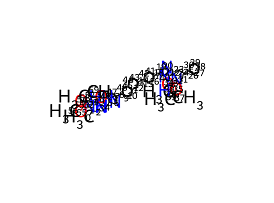 CCCN(Cc1nc(-c2ccc3cc(-c4ccc(-c5cnc([C@@H]6C[C@@H](c7ccccc7)CN6C(=O)OC(C)(C)C)[nH]5)cc4)ccc3c2)c[nH]1)C(=O)[C@@H](NC(=O)OC)C(C)C